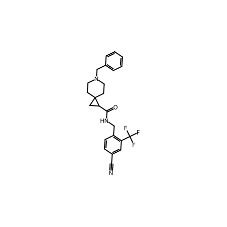 N#Cc1ccc(CNC(=O)C2CC23CCN(Cc2ccccc2)CC3)c(C(F)(F)F)c1